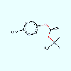 C=C(Oc1ccc([N+](=O)[O-])cc1)OC(C)(C)C(F)(F)F